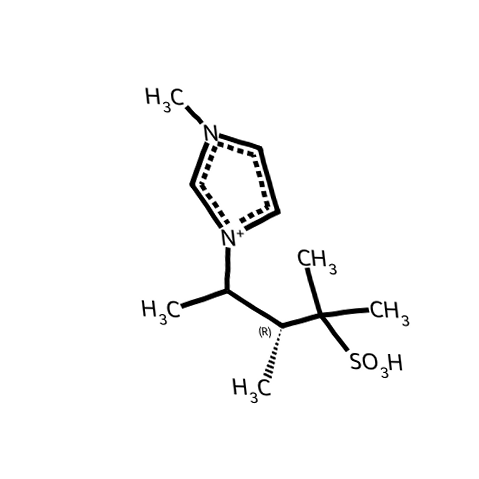 CC([C@@H](C)C(C)(C)S(=O)(=O)O)[n+]1ccn(C)c1